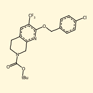 CC(C)(C)OC(=O)N1CCc2cc(C(F)(F)F)c(OCc3ccc(Cl)cc3)nc2C1